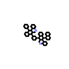 c1ccc(-c2c3ccccc3c(-c3cccc(-c4c5ccccc5c(-c5cccc6ccccc56)c5c4cnc4ccccc45)c3)c3cnc4ccccc4c23)cc1